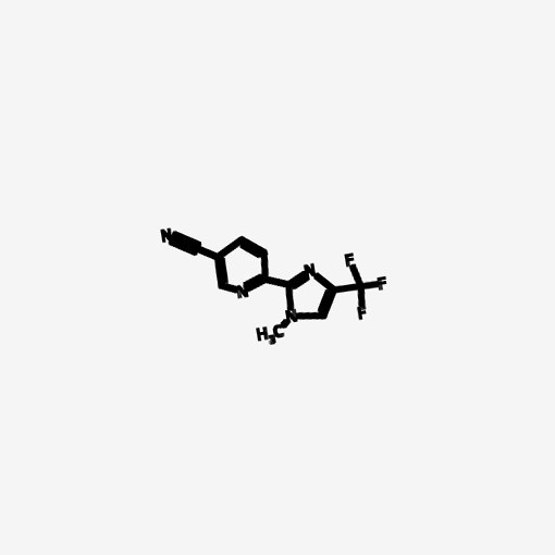 Cn1cc(C(F)(F)F)nc1-c1ccc(C#N)cn1